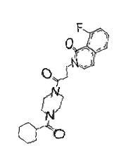 O=C(CCn1ccc2cccc(F)c2c1=O)N1CCN(C(=O)C2CCCCC2)CC1